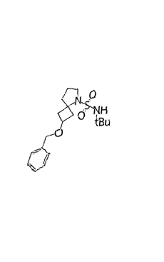 CC(C)(C)NS(=O)(=O)N1CCCC12CC(OCc1ccccc1)C2